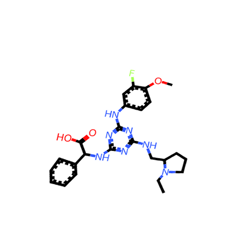 CCN1CCCC1CNc1nc(Nc2ccc(OC)c(F)c2)nc(NC(C(=O)O)c2ccccc2)n1